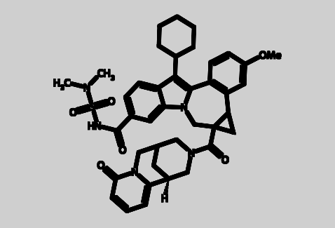 COc1ccc2c(c1)C1CC1(C(=O)N1CC3C[C@@H](C1)c1cccc(=O)n1C3)Cn1c-2c(C2CCCCC2)c2ccc(C(=O)NS(=O)(=O)N(C)C)cc21